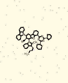 C=C/C=C\c1c(C)n(-c2c(C#N)c(-n3c4ccccc4c4ccccc43)cc3c2oc2c(-c4nc(-c5ccccc5)nc(-c5ccccc5)n4)cccc23)c2ccccc12